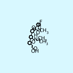 CNC(=O)c1c(-c2ccc(F)cc2)oc2ccc(-c3ccc(-c4cccc(C=CC(=O)O)c4)c(C(=O)NCC(C)C)c3)cc12